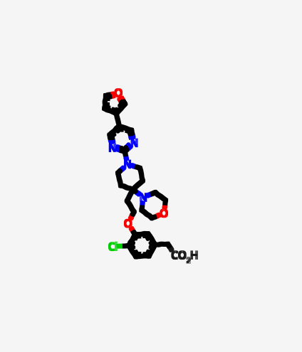 O=C(O)Cc1ccc(Cl)c(OCCC2(N3CCOCC3)CCN(c3ncc(-c4ccoc4)cn3)CC2)c1